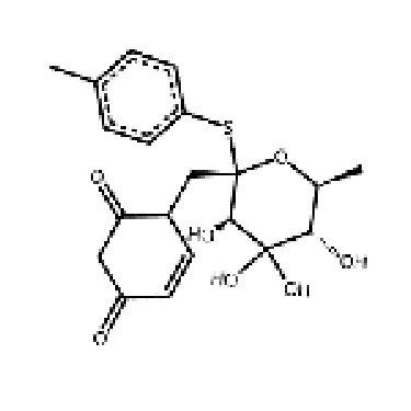 Cc1ccc(S[C@]2(CC3C=CC(=O)CC3=O)O[C@@H](C)[C@H](O)C(O)(O)[C@H]2O)cc1